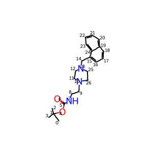 CC(C)(C)OC(=O)NCCN1CCN(Cc2cccc3ccccc23)CC1